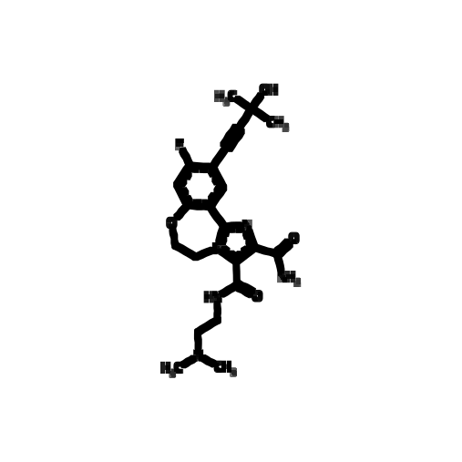 CN(C)CCNC(=O)c1c(C(N)=O)nc2n1CCOc1cc(F)c(C#CC(C)(C)O)cc1-2